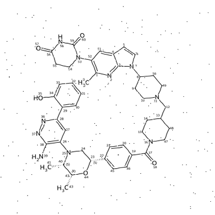 Cc1nc2c(ccn2C2CCN(CC3CCN(C(=O)c4ccc([C@H]5CN(c6cc(-c7ccccc7O)nnc6N)[C@@H](C)[C@@H](C)O5)cc4)CC3)CC2)cc1N1CCC(=O)NC1=O